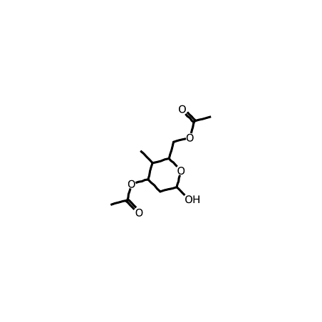 CC(=O)OCC1OC(O)CC(OC(C)=O)C1C